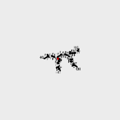 CC(C)(OC(F)(F)C(F)(F)OC(F)(F)C(F)(OC(C)(C)C(F)(F)C(F)(F)OC(F)(F)CO)C(F)(F)OC(F)(F)C(F)(OC(C)(C)C(F)(F)C(F)(F)OC(C)(C)C(F)(F)CO)C(F)(F)OC(F)(F)C(F)(F)OC(C)(C)C(F)(F)CO)C(F)(F)CO